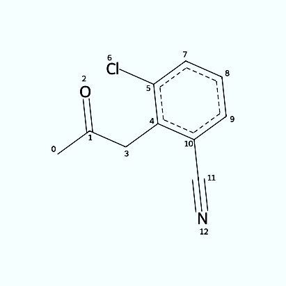 CC(=O)Cc1c(Cl)cccc1C#N